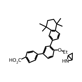 C1C2NC12.CCOc1ccc(-c2ccc(C(=O)O)cc2)cc1-c1ccc2c(c1)C(C)(C)CCC2(C)C